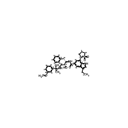 CCc1c[nH]c2c(N3CCCS3(=O)=O)cc(C(=O)N[C@@H](Cc3ccccc3)[C@H](O)CNC(C)(C)c3cccc(OC)c3)cc12